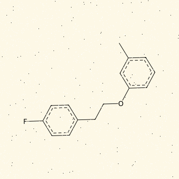 Cc1cccc(OCCc2ccc(F)cc2)c1